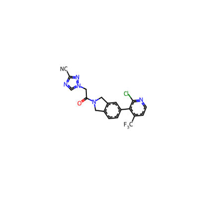 N#Cc1ncn(CC(=O)N2Cc3ccc(-c4c(C(F)(F)F)ccnc4Cl)cc3C2)n1